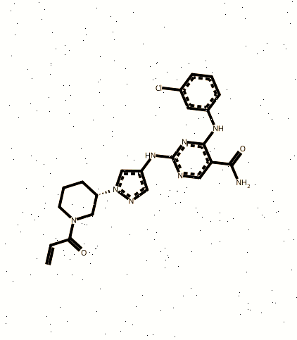 C=CC(=O)N1CCC[C@H](n2cc(Nc3ncc(C(N)=O)c(Nc4cccc(Cl)c4)n3)cn2)C1